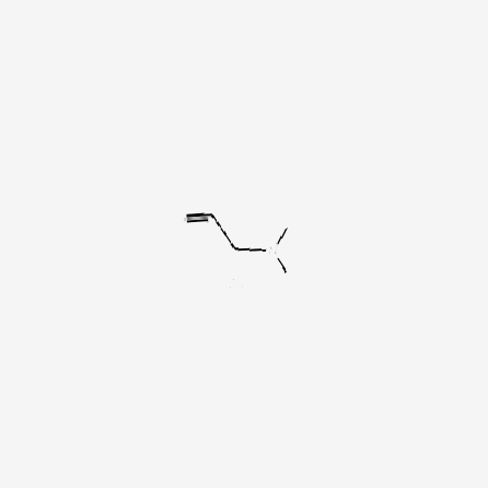 CN(C)CC=O.[Zn]